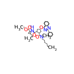 C=CCCCCN(C)C(=O)C1CC(Oc2nc(-c3ccccc3)nc3ccccc23)CC1C(=O)NC1(C(=O)OCC)CC1C=C